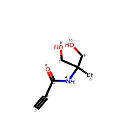 C#CC(=O)NC(CC)(CO)CO